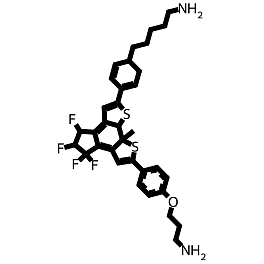 CC12SC(c3ccc(OCCCN)cc3)=CC1=C1C(=C3C=C(C4=CCC(CCCCCN)C=C4)SC32)C(F)C(F)C1(F)F